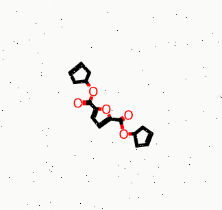 O=C(OC1CC=CC1)c1ccc(C(=O)OC2CC=CC2)o1